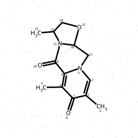 Cc1cn2c(c(C)c1=O)C(=O)N1C(C)COC1C2